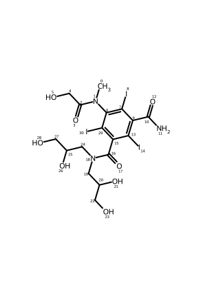 CN(C(=O)CO)c1c(I)c(C(N)=O)c(I)c(C(=O)N(CC(O)CO)CC(O)CO)c1I